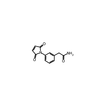 NC(=O)Cc1cccc(N2C(=O)C=CC2=O)c1